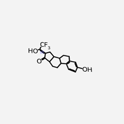 O=C1/C(=C(\O)C(F)(F)F)CC2C1CCC1c3ccc(O)cc3CCC12